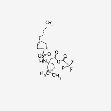 CCCCCc1ccc(S(=O)(=O)NC2(CC(=O)OC(=O)C(F)(F)F)CC[N+](C)(C)C2)cc1